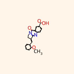 COc1ccccc1C=C1CCn2c1nc1ccc(C(=O)O)cc1c2=O